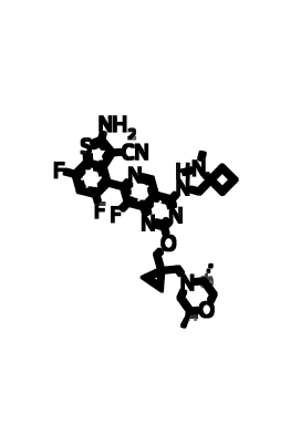 C[C@@H]1CO[C@@H](C)CN1CC1(COc2nc(NCC3(N(C)C)CCC3)c3cnc(-c4c(F)cc(F)c5sc(N)c(C#N)c45)c(F)c3n2)CC1